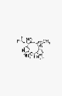 C[C@H]1Oc2cc(cnc2N)-c2c(CC(F)F)noc2Cc2cn(C)nc2-c2ccc(F)cc21